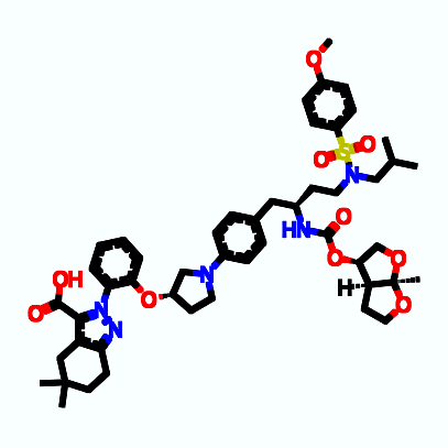 COc1ccc(S(=O)(=O)N(CC[C@H](Cc2ccc(N3CC[C@H](Oc4ccccc4-n4nc5c(c4C(=O)O)CC(C)(C)CC5)C3)cc2)NC(=O)O[C@H]2CO[C@@]3(C)OCC[C@@H]23)CC(C)C)cc1